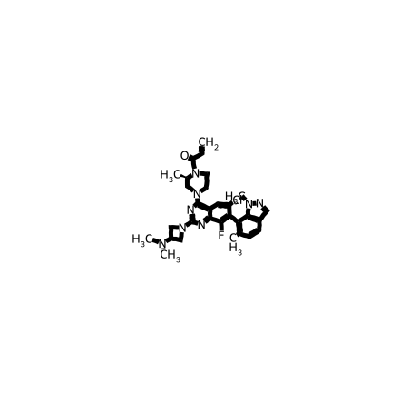 C=CC(=O)N1CCN(c2nc(N3CC(N(C)C)C3)nc3c(F)c(-c4c(C)ccc5cnn(C)c45)c(Cl)cc23)C[C@H]1C